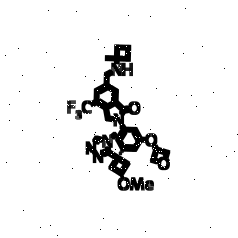 CO[C@H]1C[C@](c2cc(OC3COC3)cc(N3Cc4c(cc(CNC5(C)CCC5)cc4C(F)(F)F)C3=O)c2)(c2nncn2C)C1